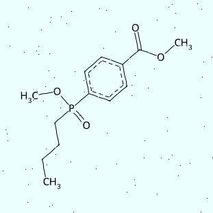 CCCCP(=O)(OC)c1ccc(C(=O)OC)cc1